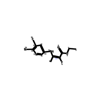 CCOC(=O)/C(F)=C(/C)Nc1cnc(Br)c(F)c1